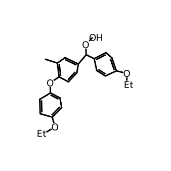 CCOc1ccc(Oc2ccc(C(OO)c3ccc(OCC)cc3)cc2C)cc1